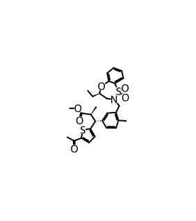 CC[C@@H]1CN(Cc2cc([C@H](c3ccc(C(C)=O)s3)[C@H](C)C(=O)OC)ccc2C)S(=O)(=O)c2ccccc2O1